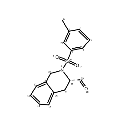 Cc1cccc(S(=O)(=O)N2Cc3ccccc3C[C@H]2[C]=O)c1